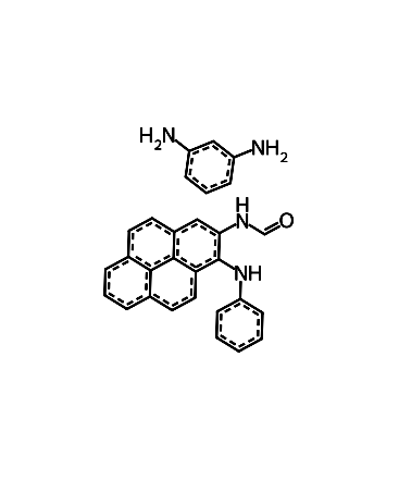 Nc1cccc(N)c1.O=CNc1cc2ccc3cccc4ccc(c1Nc1ccccc1)c2c34